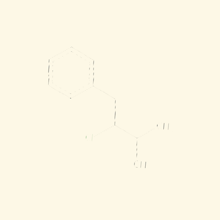 CC(C)[C](Cl)Cc1ccccc1